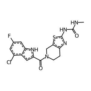 CNC(=O)Nc1nc2c(s1)CN(C(=O)c1cc3c(Cl)cc(F)cc3[nH]1)CC2